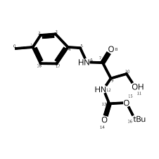 Cc1ccc(CNC(=O)C(CO)NC(=O)OC(C)(C)C)cc1